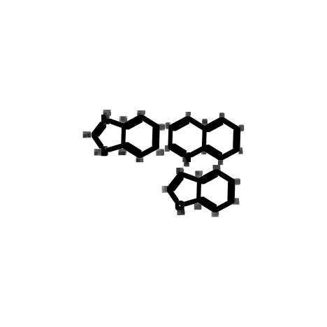 c1ccc2ncccc2c1.c1ccc2occc2c1.c1ccc2scnc2c1